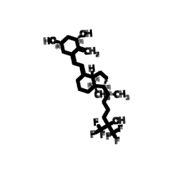 C=C1C(=CC=C2CCC[C@]3(C)[C@@H]([C@H](C)CCCC(O)(C(F)(F)F)C(F)(F)F)CC[C@@H]23)C[C@@H](O)C[C@@H]1O